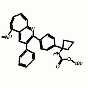 CC(C)(C)OC(=O)NC1(c2ccc(-c3nc4c(cc3-c3ccccc3)C(NI)=C=CC=C4)cc2)CCC1